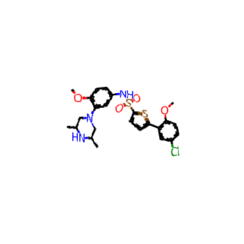 COc1ccc(Cl)cc1-c1ccc(S(=O)(=O)Nc2ccc(OC)c(N3CC(C)NC(C)C3)c2)s1